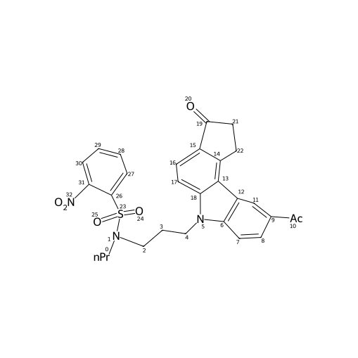 CCCN(CCCn1c2ccc(C(C)=O)cc2c2c3c(ccc21)C(=O)CC3)S(=O)(=O)c1ccccc1[N+](=O)[O-]